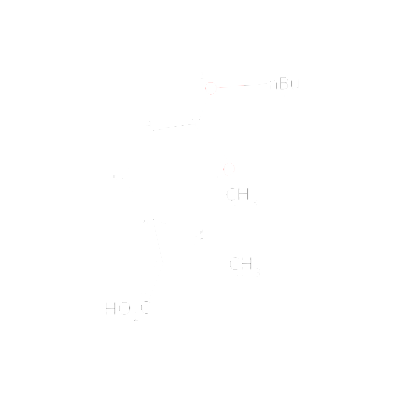 CCCCOC(=O)/C=C\C1C(C(=O)O)C1(C)C